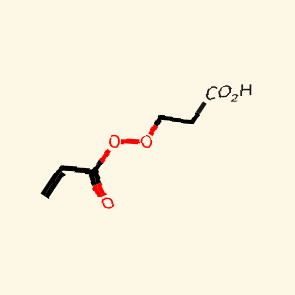 C=CC(=O)OOCCC(=O)O